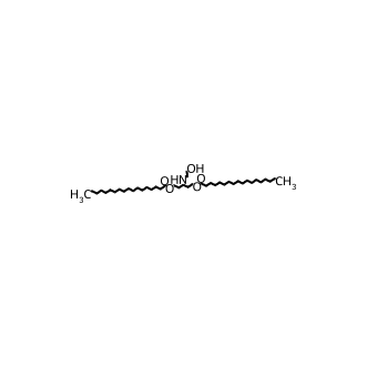 CCCCCCCCCCCCCCCCCC(=O)OCCC(CCOC(=O)CCCCCCCCCCCCCCCCC)NCCO